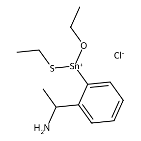 CC[O][Sn+]([S]CC)[c]1ccccc1C(C)N.[Cl-]